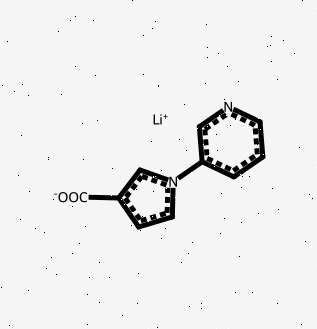 O=C([O-])c1ccn(-c2cccnc2)c1.[Li+]